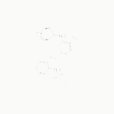 CS(=O)(=O)Nc1ccccc1CCc1ccc(C=O)c(Nc2ccc(F)cc2)c1